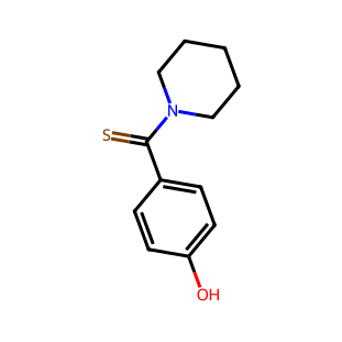 Oc1ccc(C(=S)N2CCCCC2)cc1